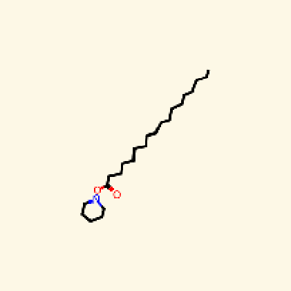 CCCCCCCCCCCCCCCCCC(=O)ON1CCCCC1